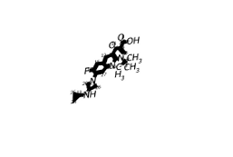 CC(C)(C)n1cc(C(=O)O)c(=O)c2cc3cc(F)c(N4CC(NC5CC5)C4)cc3nc21